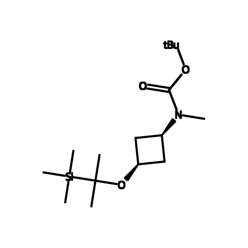 CN(C(=O)OC(C)(C)C)[C@H]1C[C@@H](OC(C)(C)[Si](C)(C)C)C1